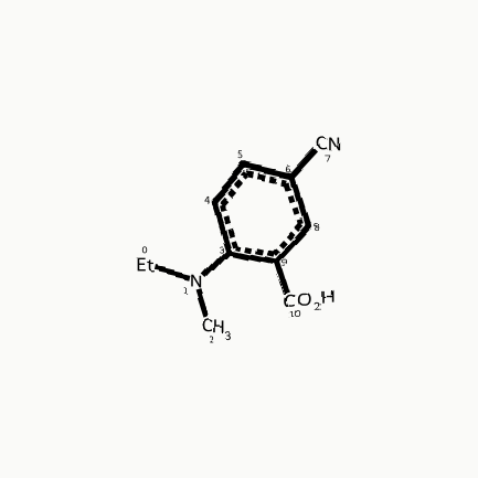 CCN(C)c1ccc(C#N)cc1C(=O)O